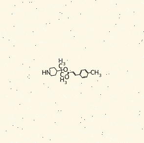 Cc1ccc(/C=C/C(=O)OC(C)(C)C2CCNCC2)cc1